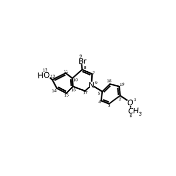 COc1ccc(N2C=C(Br)c3cc(O)ccc3C2)cc1